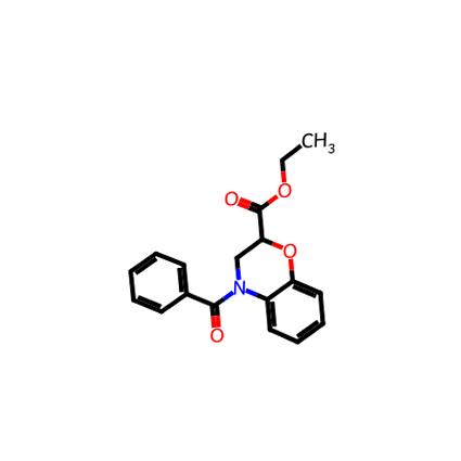 CCOC(=O)C1CN(C(=O)c2ccccc2)c2ccccc2O1